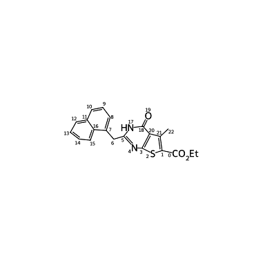 CCOC(=O)c1sc2nc(Cc3cccc4ccccc34)[nH]c(=O)c2c1C